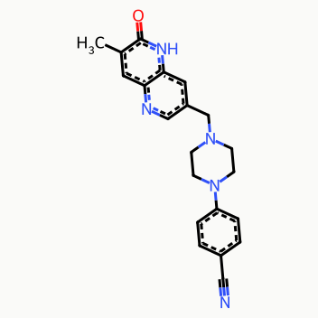 Cc1cc2ncc(CN3CCN(c4ccc(C#N)cc4)CC3)cc2[nH]c1=O